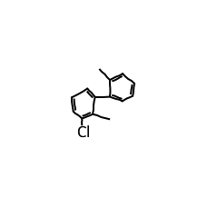 Cc1ccccc1-c1cccc(Cl)c1C